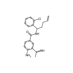 C=CCCC(NC(=O)c1ccc(N)c(C(C)=N)c1)c1ccccc1Cl